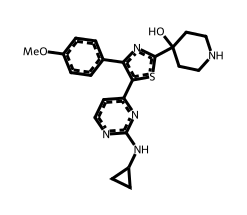 COc1ccc(-c2nc(C3(O)CCNCC3)sc2-c2ccnc(NC3CC3)n2)cc1